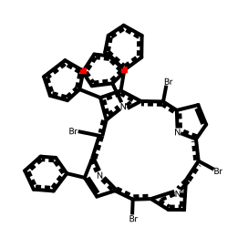 Brc1c2nc(c(Br)c3c(-c4ccccc4)c(-c4ccccc4)c(c(Br)c4nc(c(Br)c5ccc1[nH]5)C=C4c1ccccc1)n3-c1ccccc1)C=C2